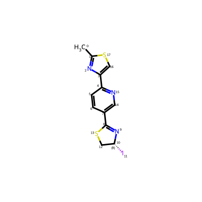 Cc1nc(-c2ccc(C3=N[C@H](I)CS3)cn2)cs1